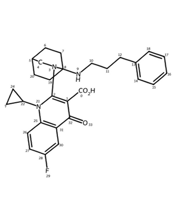 O=C(O)c1c(N2CC3CCC2(NCCCc2ccccc2)CC3)n(C2CC2)c2ccc(F)cc2c1=O